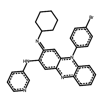 Brc1ccc(-n2c3c/c(=N\C4CCCCC4)c(Nc4cccnc4)cc-3nc3ccccc32)cc1